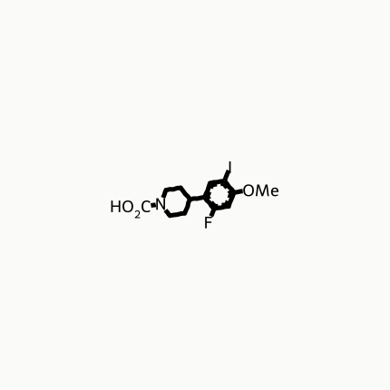 COc1cc(F)c(C2CCN(C(=O)O)CC2)cc1I